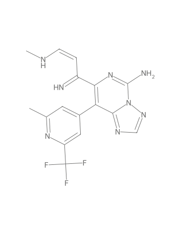 CN/C=C\C(=N)c1nc(N)n2ncnc2c1-c1cc(C)nc(C(F)(F)F)c1